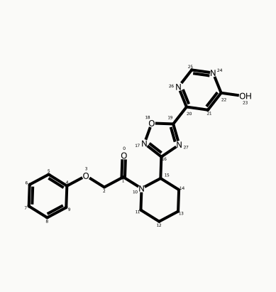 O=C(COc1ccccc1)N1CCCCC1c1noc(-c2cc(O)ncn2)n1